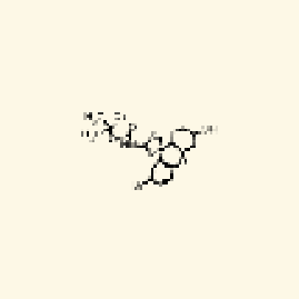 CC(C)(C)OC(=O)NC1=NC2(CS1)c1cc(Br)ccc1OC1CC(O)CCC12